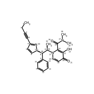 CCC#Cc1ccn([C@H](c2ccccc2)[C@@H](C)n2ncc(=O)c(O)c2C(=O)N(C)C)n1